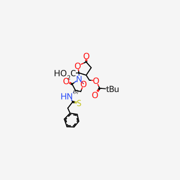 CC(C)(C)C(=O)OCC1CC(=O)OC1(C(=O)O)N1OC[C@H](NC(=S)Cc2ccccc2)C1=O